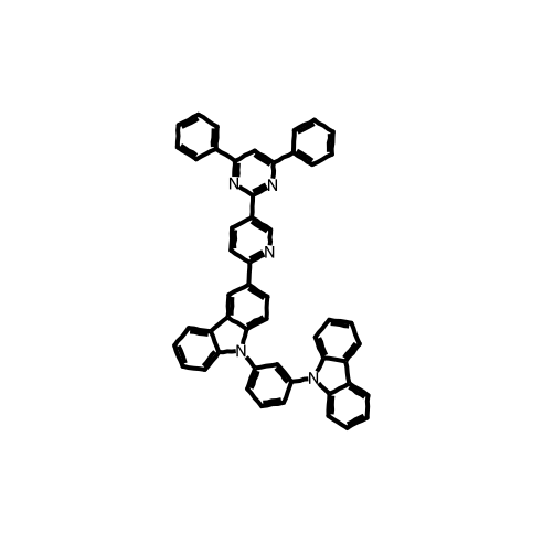 c1ccc(-c2cc(-c3ccccc3)nc(-c3ccc(-c4ccc5c(c4)c4ccccc4n5-c4cccc(-n5c6ccccc6c6ccccc65)c4)nc3)n2)cc1